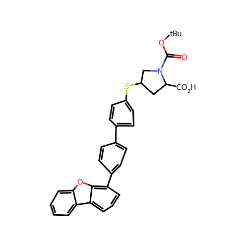 CC(C)(C)OC(=O)N1CC(Sc2ccc(-c3ccc(-c4cccc5c4oc4ccccc45)cc3)cc2)CC1C(=O)O